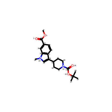 COC(=O)c1ccc2c(C3CCN(C(=O)OC(C)(C)C)CC3)cn(C)c2c1